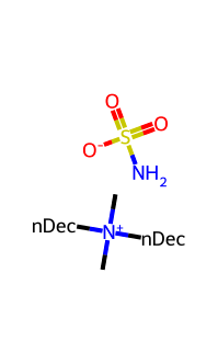 CCCCCCCCCC[N+](C)(C)CCCCCCCCCC.NS(=O)(=O)[O-]